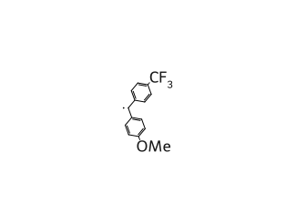 COc1ccc([CH]c2ccc(C(F)(F)F)cc2)cc1